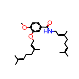 COc1ccc(C(=O)NC/C=C(\C)CCC=C(C)C)cc1OC/C=C(\C)CCC=C(C)C